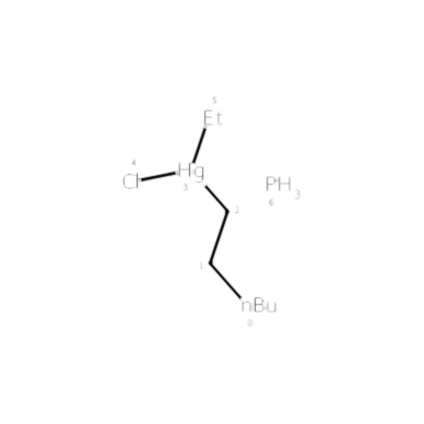 CCCCC[CH2][Hg]([Cl])[CH2]C.P